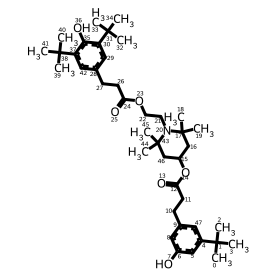 CC(C)(C)c1cc(O)cc(CCC(=O)OC2CC(C)(C)N(CCOC(=O)CCc3cc(C(C)(C)C)c(O)c(C(C)(C)C)c3)C(C)(C)C2)c1